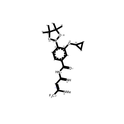 CN/C(=C\C(=N)NC(=O)c1ccc(B2OC(C)(C)C(C)(C)O2)c(OC2CC2)c1)C(F)(F)F